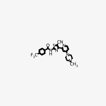 CN1CCN(c2ccnc(-c3nc(NC(=O)c4ccc(C(F)(F)F)cc4)sc3C#N)c2)CC1